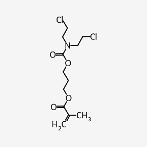 C=C(C)C(=O)OCCCOC(=O)N(CCCl)CCCl